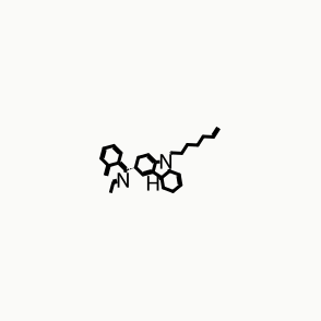 C=CCCCCCN1C2=CC[C@@H](C(/N=C/C)=c3\ccccc3=C)C=C2[C@H]2CCC=CC21